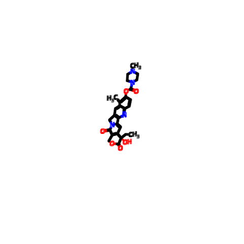 CC[C@@]1(O)C(=O)OCc2c1cc1n(c2=O)Cc2cc3c(C)c(OC(=O)N4CCN(C)CC4)ccc3nc2-1